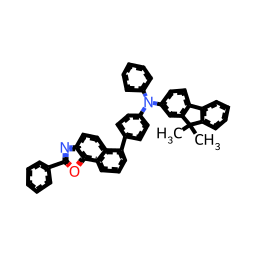 CC1(C)c2ccccc2-c2ccc(N(c3ccccc3)c3ccc(-c4cccc5c4ccc4nc(-c6ccccc6)oc45)cc3)cc21